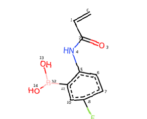 C=CC(=O)Nc1ccc(F)cc1B(O)O